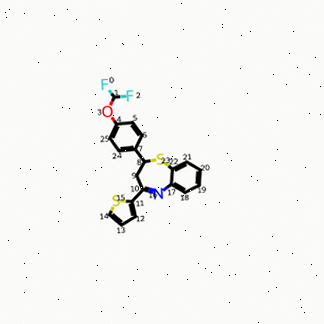 FC(F)Oc1ccc(C2CC(c3cccs3)=Nc3ccccc3S2)cc1